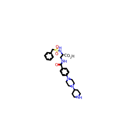 O=C(NC[C@H](NS(=O)(=O)Cc1ccccc1)C(=O)O)c1ccc(N2CCN(C3CCNCC3)CC2)cc1